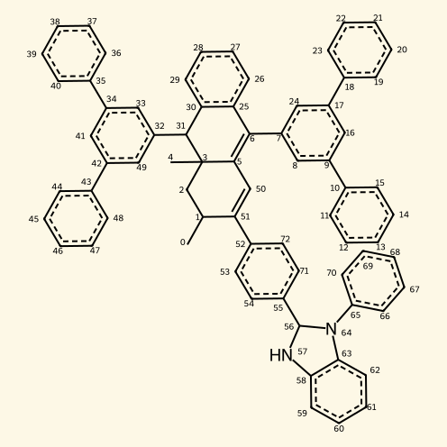 CC1CC2(C)C(=C(c3cc(-c4ccccc4)cc(-c4ccccc4)c3)c3ccccc3C2c2cc(-c3ccccc3)cc(-c3ccccc3)c2)C=C1c1ccc(C2Nc3ccccc3N2c2ccccc2)cc1